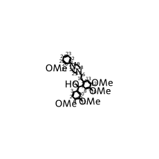 COc1ccc(C(O)c2cc(OC)c(OC)cc2CCN2CCN(c3ccccc3OC)CC2)cc1OC